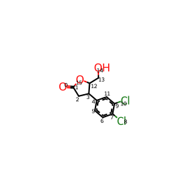 O=C1CC(c2ccc(Cl)c(Cl)c2)C(CO)O1